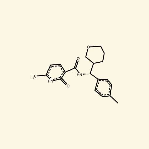 Cc1ccc([C@H](NC(=O)c2ccc(C(F)(F)F)[nH]c2=O)C2CCCOC2)cc1